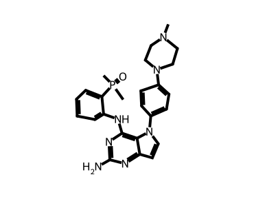 CN1CCN(c2ccc(-n3ccc4nc(N)nc(Nc5ccccc5P(C)(C)=O)c43)cc2)CC1